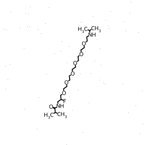 CC(C)NCCOCCOCCOCCOCCOCCOCC(F)CNC(=O)C(C)C